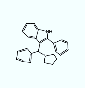 c1ccc(-c2[nH]c3ccccc3c2C(c2ccccc2)N2CCCC2)cc1